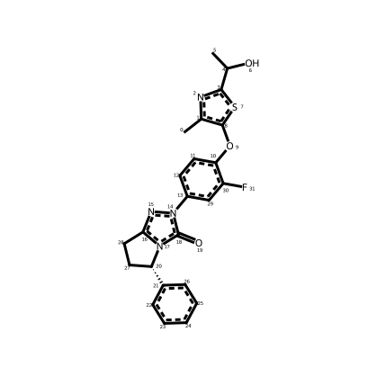 Cc1nc(C(C)O)sc1Oc1ccc(-n2nc3n(c2=O)[C@H](c2ccccc2)CC3)cc1F